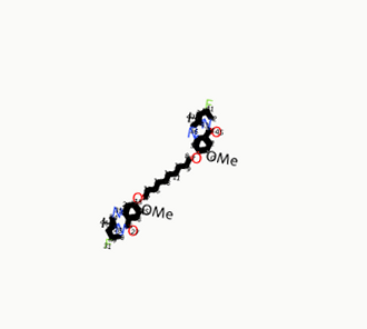 COc1cc2c(cc1OCCCCCCCCCCOc1cc3c(cc1OC)C(=O)N1C[C@@H](F)C[C@H]1C=N3)N=C[C@@H]1C[C@H](F)CN1C2=O